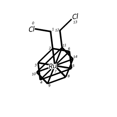 ClC[C]12[CH]3[CH]4[CH]5[CH]1[Ru]45321678[CH]2[CH]1[CH]6[C]7(CCl)[CH]28